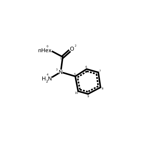 CCCCCCC(=O)N(N)c1ccccc1